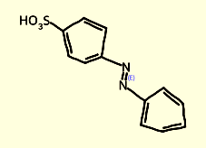 O=S(=O)(O)c1ccc(/N=N/c2ccccc2)cc1